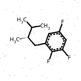 CC(C)[C@@H](C)Cc1cc(F)cc(F)c1F